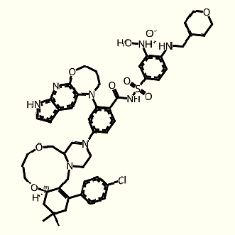 CC1(C)CC(c2ccc(Cl)cc2)=C2CN3CCN(c4ccc(C(=O)NS(=O)(=O)c5ccc(NCC6CCOCC6)c([NH+]([O-])O)c5)c(N5CCCOc6nc7[nH]ccc7cc65)c4)CC3COCCCO[C@@H]2C1